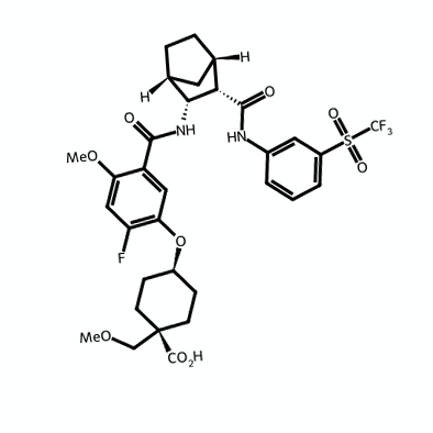 COC[C@]1(C(=O)O)CC[C@@H](Oc2cc(C(=O)N[C@@H]3[C@@H]4CC[C@@H](C4)[C@@H]3C(=O)Nc3cccc(S(=O)(=O)C(F)(F)F)c3)c(OC)cc2F)CC1